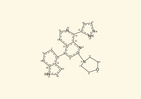 c1cc(-c2cc(N3CCOCC3)nc3c(-c4ccn[nH]4)nccc23)c2cc[nH]c2c1